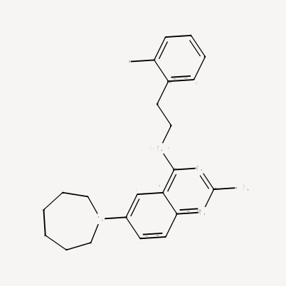 N#Cc1nc(NCCc2ccccc2Cl)c2cc(N3CCCCCC3)ccc2n1